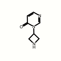 O=c1ccncn1C1CNC1